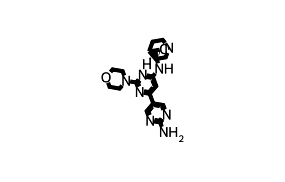 Nc1ncc(-c2cc(N[C@@H]3CN4CCC3CC4)nc(N3CCOCC3)n2)cn1